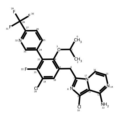 CC(C)Oc1c(Cc2nc(Cl)c3c(N)nccn23)cc(Cl)c(F)c1-c1ccc(C(F)(F)F)nc1